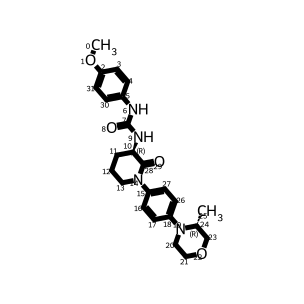 COc1ccc(NC(=O)N[C@@H]2CCCN(c3ccc(N4CCOC[C@H]4C)cc3)C2=O)cc1